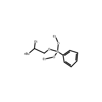 CCCCC(CC)CO[Si](OCC)(OCC)c1ccccc1